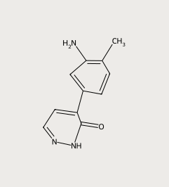 Cc1ccc(-c2ccn[nH]c2=O)cc1N